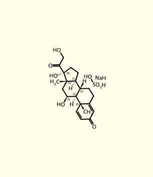 C[C@]12C=CC(=O)C=C1CC[C@@H]1[C@@H]2[C@@H](O)C[C@@]2(C)[C@H]1CC[C@]2(O)C(=O)CO.O=S(=O)(O)O.[NaH]